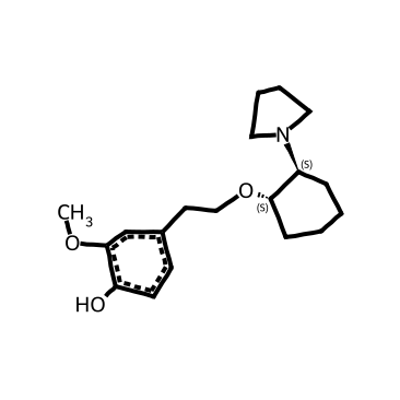 COc1cc(CCO[C@H]2CCCC[C@@H]2N2CCCC2)ccc1O